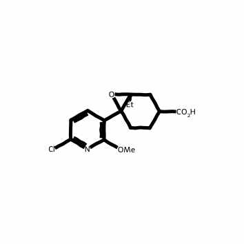 CCC12CC(C(=O)O)CCC1(c1ccc(Cl)nc1OC)O2